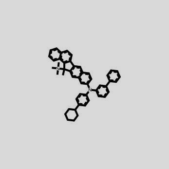 CC1([Si](C)(C)C)c2cc3cc(N(c4ccc(C5CCCCC5)cc4)c4cccc(-c5ccccc5)c4)ccc3cc2-c2ccc3ccccc3c21